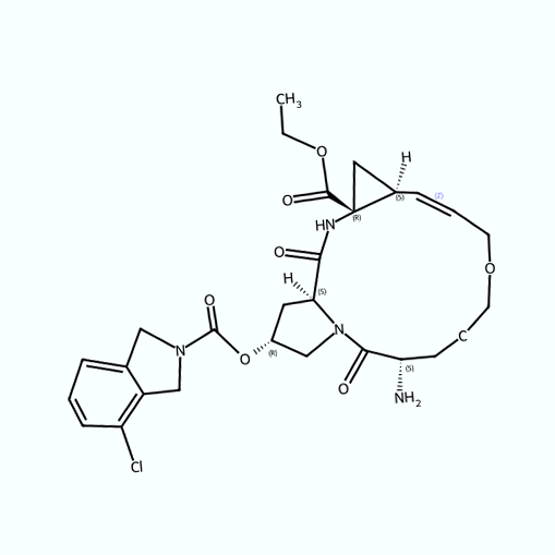 CCOC(=O)[C@@]12C[C@H]1/C=C\COCCC[C@H](N)C(=O)N1C[C@H](OC(=O)N3Cc4cccc(Cl)c4C3)C[C@H]1C(=O)N2